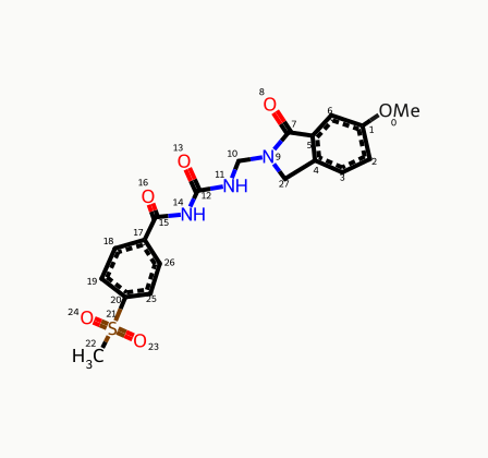 COc1ccc2c(c1)C(=O)N(CNC(=O)NC(=O)c1ccc(S(C)(=O)=O)cc1)C2